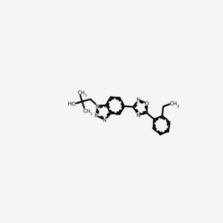 CCc1ccccc1-c1nc(-c2ccc3c(c2)nnn3CC(C)(C)O)no1